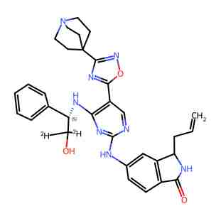 [2H]C([2H])(O)[C@@H](Nc1nc(Nc2ccc3c(c2)C(CC=C)NC3=O)ncc1-c1nc(C23CCN(CC2)CC3)no1)c1ccccc1